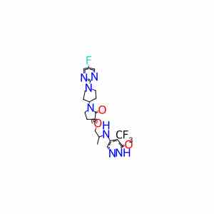 CC(CO[C@@H]1CCN(C2CCN(c3ncc(F)cn3)CC2)C1=O)Nc1cn[nH]c(=O)c1C(F)(F)F